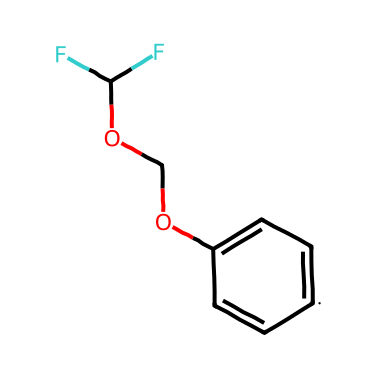 FC(F)OCOc1cc[c]cc1